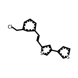 ClCc1cccc(C=Cc2cc(-c3ccsc3)cs2)c1